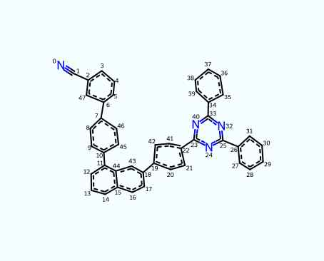 N#Cc1cccc(-c2ccc(-c3cccc4ccc(-c5ccc(-c6nc(-c7ccccc7)nc(-c7ccccc7)n6)cc5)cc34)cc2)c1